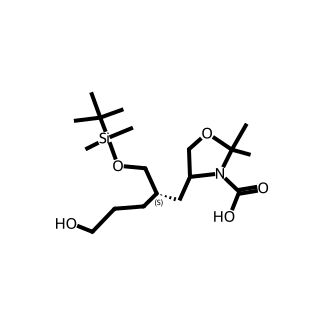 CC1(C)OCC(C[C@H](CCCO)CO[Si](C)(C)C(C)(C)C)N1C(=O)O